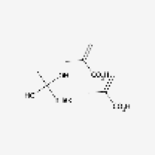 C=C(C)C(=O)O.C=C(C)C(=O)O.CCCCCCC(C)(O)O